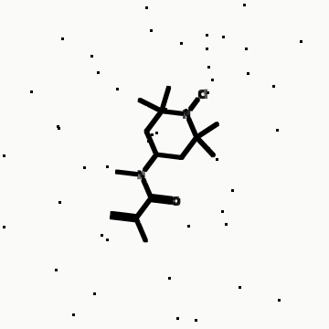 C=C(C)C(=O)N(C)C1CC(C)(C)N(Cl)C(C)(C)C1